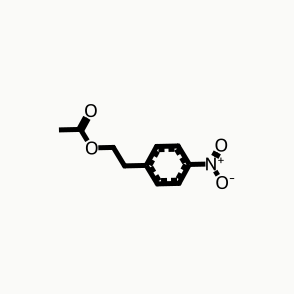 CC(=O)OCCc1ccc([N+](=O)[O-])cc1